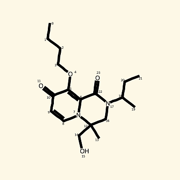 CCCCOc1c2n(ccc1=O)C(C)(CO)CN(C(C)CC)C2=O